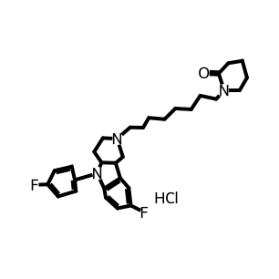 Cl.O=C1CCCCN1CCCCCCCCN1CCC2C(C1)c1cc(F)ccc1N2c1ccc(F)cc1